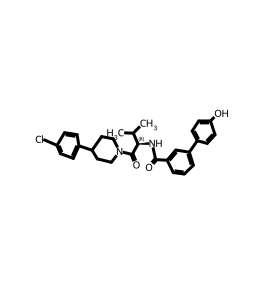 CC(C)[C@@H](NC(=O)c1cccc(-c2ccc(O)cc2)c1)C(=O)N1CCC(c2ccc(Cl)cc2)CC1